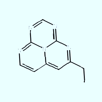 CCC1=NC2=NC=NC3=NC=CC(=C1)N32